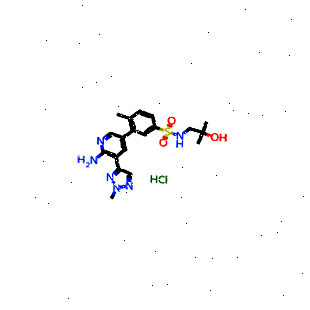 Cc1ccc(S(=O)(=O)NCC(C)(C)O)cc1-c1cnc(N)c(-c2cnn(C)n2)c1.Cl